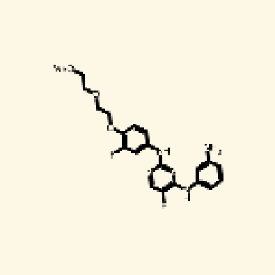 COCCOCCOc1ccc(Nc2ncc(F)c(Nc3cccc(N)c3)n2)cc1F